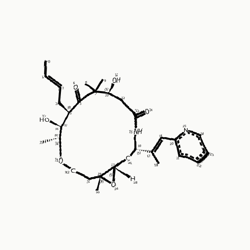 CC=CC[C@H]1C(=O)C(C)(C)[C@@H](O)CC(=O)N[C@H](C(C)=Cc2ccccn2)C[C@@H]2O[C@]2(C)CCO[C@H](C)[C@H]1O